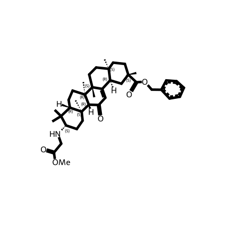 COC(=O)CN[C@H]1CC[C@]2(C)[C@H]3C(=O)C=C4[C@@H]5C[C@@](C)(C(=O)OCc6ccccc6)CC[C@]5(C)CC[C@@]4(C)[C@]3(C)CC[C@H]2C1(C)C